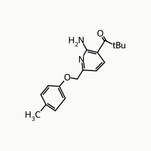 Cc1ccc(OCc2ccc(C(=O)C(C)(C)C)c(N)n2)cc1